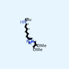 COCC(Cn1cc(CCCCCCNC(C)(C)C)nn1)OC